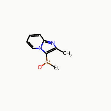 CC[S+]([O-])c1c(C)nc2ccccn12